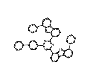 c1ccc(-c2ccc(-c3nc(-c4cccc5c4oc4c(-c6ccccc6)cccc45)nc(-c4cccc5c4sc4c(-c6ccccc6)cccc45)n3)cc2)cc1